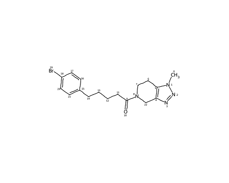 Cn1nnc2c1CCN(C(=O)CCCCc1ccc(Br)cc1)C2